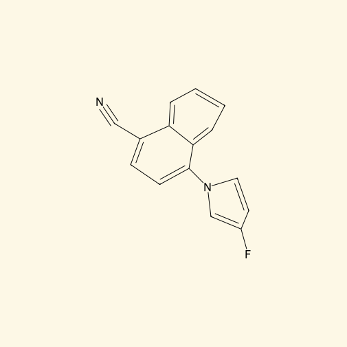 N#Cc1ccc(-n2ccc(F)c2)c2ccccc12